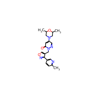 Cc1ccc(-c2nocc2Cn2ncc(N3CC(C)OC(C)C3)cc2=O)cn1